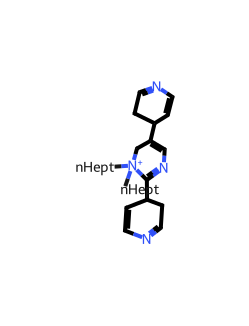 CCCCCCC[N+]1(CCCCCCC)CC(C2C=CN=CC2)=CN=C1C1C=CN=CC1